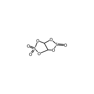 O=S1OC2OS(=O)(=O)OC2O1